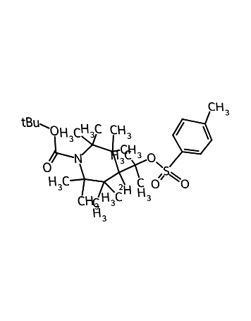 [2H]C1(C(C)(C)OS(=O)(=O)c2ccc(C)cc2)C(C)(C)C(C)(C)N(C(=O)OC(C)(C)C)C(C)(C)C1(C)C